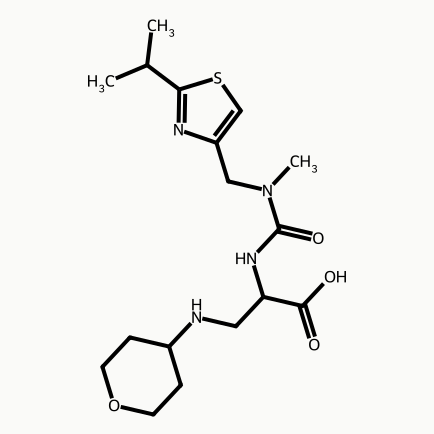 CC(C)c1nc(CN(C)C(=O)NC(CNC2CCOCC2)C(=O)O)cs1